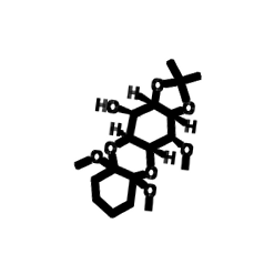 CO[C@@H]1[C@H]2OC(C)(C)O[C@H]2[C@H](O)[C@@H]2OC3(OC)CCCCC3(OC)O[C@@H]12